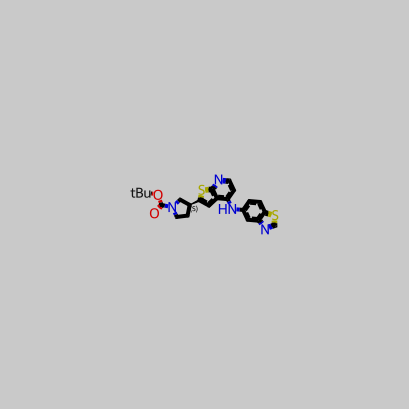 CC(C)(C)OC(=O)N1CC[C@H](c2cc3c(Nc4ccc5scnc5c4)ccnc3s2)C1